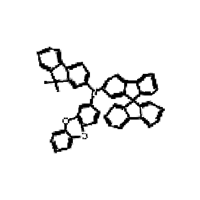 CC1(C)c2ccccc2-c2ccc(N(c3ccc4c(c3)Oc3ccccc3O4)c3ccc4c(c3)C3(c5ccccc5-c5ccccc53)c3ccccc3-4)cc21